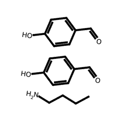 CCCCN.O=Cc1ccc(O)cc1.O=Cc1ccc(O)cc1